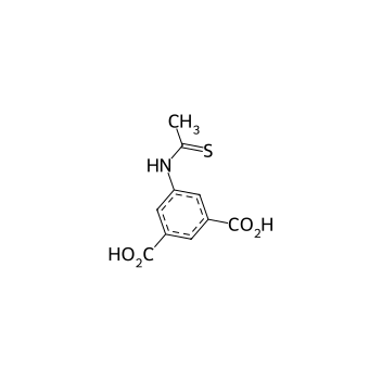 CC(=S)Nc1cc(C(=O)O)cc(C(=O)O)c1